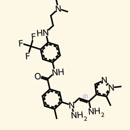 Cc1ccc(C(=O)Nc2ccc(NCCN(C)C)c(C(F)(F)F)c2)cc1N(N)/C=C(\N)c1cnn(C)c1C